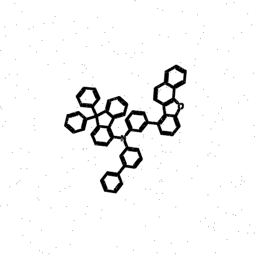 c1ccc(-c2cccc(N(c3cccc(-c4cccc5oc6c7ccccc7ccc6c45)c3)c3cccc4c3-c3ccccc3C4(c3ccccc3)c3ccccc3)c2)cc1